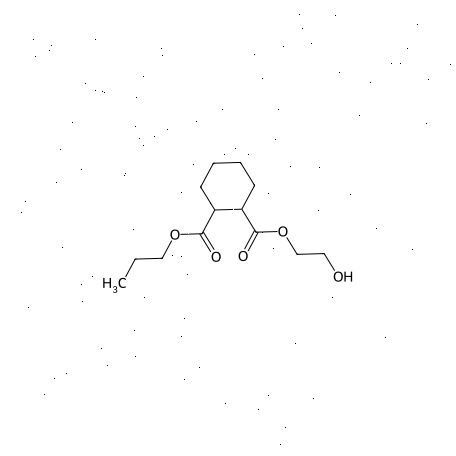 CCCOC(=O)C1CCCCC1C(=O)OCCO